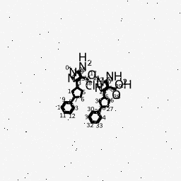 Cn1nc(C2CCC(c3ccccc3)C2)c(C(=O)Cl)c1N.Cn1nc(C2CCC(c3ccccc3)C2)c(C(=O)O)c1N